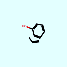 C=CC.Oc1ccccc1